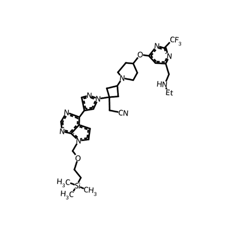 CCNCc1cc(OC2CCN(C3CC(CC#N)(n4cc(-c5ncnc6c5ccn6COCC[Si](C)(C)C)cn4)C3)CC2)nc(C(F)(F)F)n1